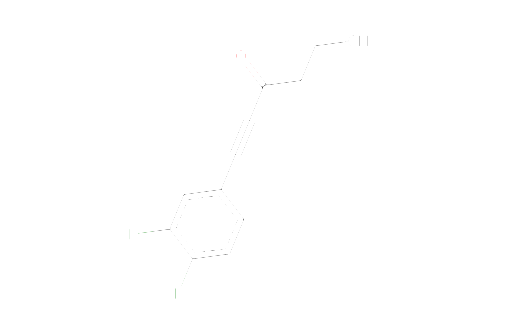 CCCC(=O)C#Cc1ccc(F)c(F)c1